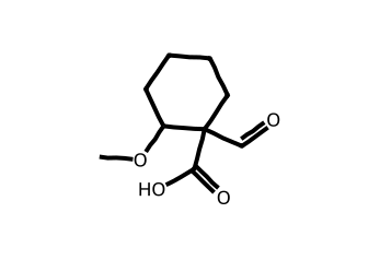 COC1CCCCC1(C=O)C(=O)O